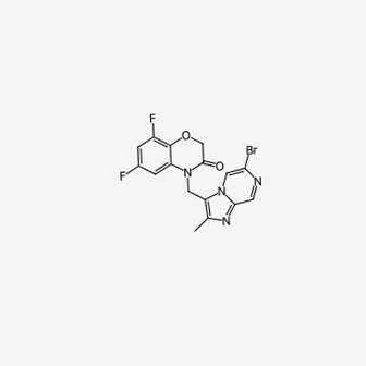 Cc1nc2cnc(Br)cn2c1CN1C(=O)COc2c(F)cc(F)cc21